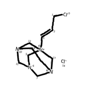 ClCC=C[N+]12CN3CN(CN(C3)C1)C2.[Cl-]